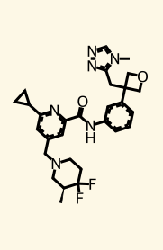 C[C@H]1CN(Cc2cc(C(=O)Nc3cccc(C4(Cc5nncn5C)COC4)c3)nc(C3CC3)c2)CCC1(F)F